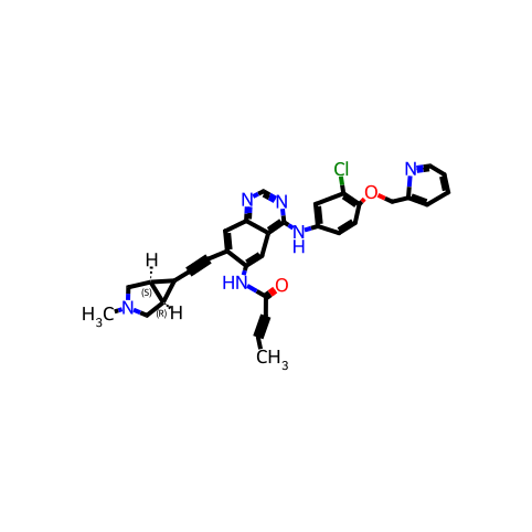 CC#CC(=O)Nc1cc2c(Nc3ccc(OCc4ccccn4)c(Cl)c3)ncnc2cc1C#CC1[C@H]2CN(C)C[C@@H]12